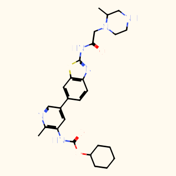 Cc1ncc(-c2ccc3nc(NC(=O)CN4CCNCC4C)sc3c2)cc1NC(=O)OC1CCCCC1